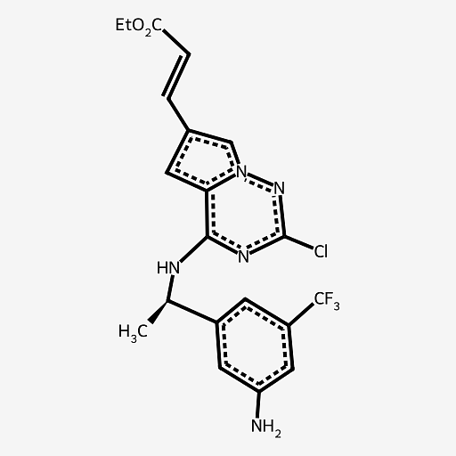 CCOC(=O)/C=C/c1cc2c(N[C@H](C)c3cc(N)cc(C(F)(F)F)c3)nc(Cl)nn2c1